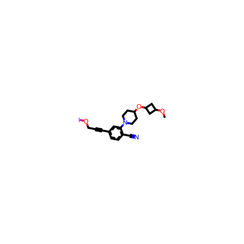 COC1CC(OC2CCN(c3cc(C#CCOI)ccc3C#N)CC2)C1